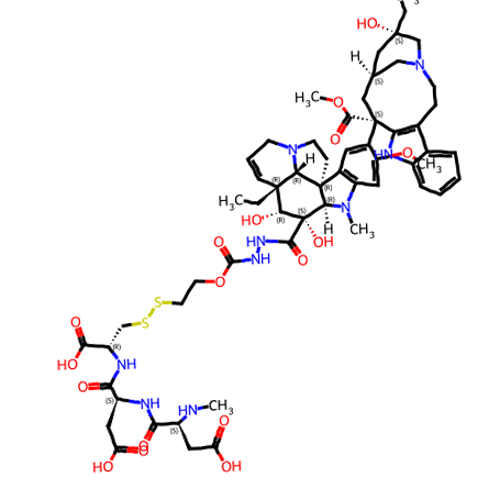 CC[C@]1(O)C[C@H]2CN(CCc3c([nH]c4ccccc34)[C@@](C(=O)OC)(c3cc4c(cc3OC)N(C)[C@H]3[C@@](O)(C(=O)NNC(=O)OCCSSC[C@H](NC(=O)[C@H](CC(=O)O)NC(=O)[C@H](CC(=O)O)NC)C(=O)O)[C@H](O)[C@]5(CC)C=CCN6CC[C@]43[C@@H]65)C2)C1